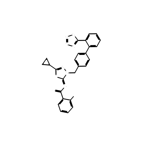 O=C(N=c1sc(C2CC2)nn1Cc1ccc(-c2ccccc2-c2nnn[nH]2)cc1)c1ccccc1Cl